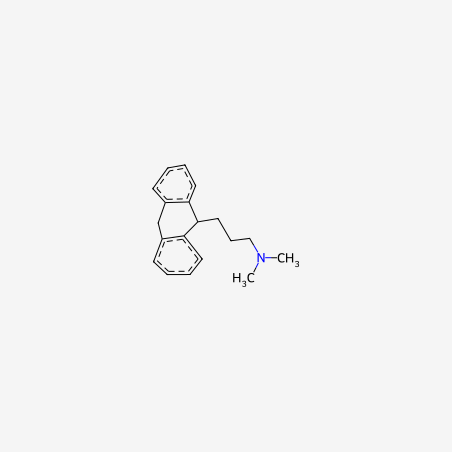 CN(C)CCCC1c2ccccc2Cc2ccccc21